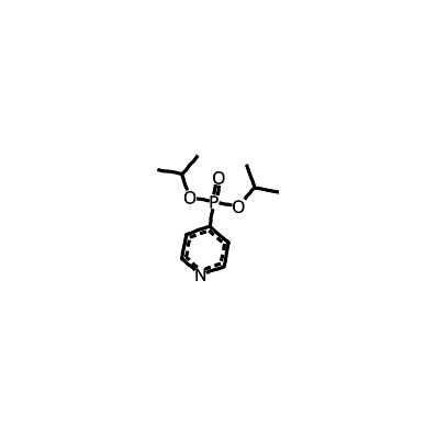 CC(C)OP(=O)(OC(C)C)c1ccncc1